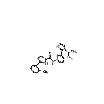 Cc1ccccc1-c1ccc(C(=O)Nc2cccc(-c3nncn3C(C)C)n2)[nH]1